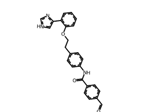 O=Cc1ccc(C(=O)Nc2ccc(CCOc3ccccc3-c3c[nH]cn3)cc2)cc1